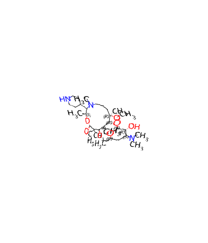 CO[C@]1(C)CCCN(C)C(C2CCNCC2)[C@H](C)OC(=O)C(C)(C)C(=O)[C@H](C)[C@H]1O[C@@H]1O[C@H](C)C[C@H](N(C)C)[C@H]1O